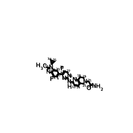 Cc1nc2c(F)cc(-c3nc(Nc4ccc5c(n4)CCN(CC(N)=O)C5)ncc3F)cc2n1C1CC1